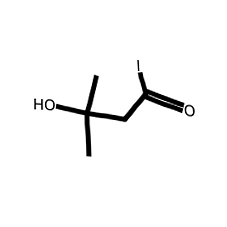 CC(C)(O)CC(=O)I